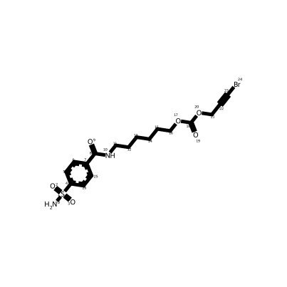 NS(=O)(=O)c1ccc(C(=O)NCCCCCCOC(=O)OCC#CBr)cc1